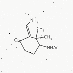 CC(=O)NC1CCC(=O)C(=CN)C1(C)C